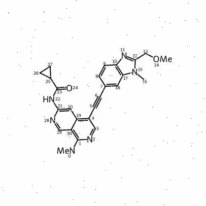 CNc1ncc(C#Cc2ccc3nc(COC)n(C)c3c2)c2cc(NC(=O)C3CC3)ncc12